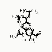 CC(C)C[C@H](NC(=O)O)C(=O)N[C@@H](CC(C)C)C(=O)NN(C)C(=O)C=O